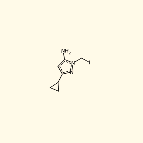 Nc1cc(C2CC2)nn1CI